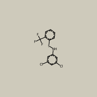 FC(F)(F)c1ccccc1SNc1cc(Cl)cc(Cl)c1